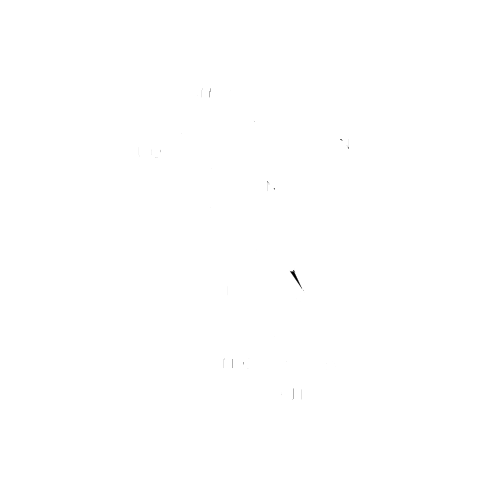 CC1(C)C[C@@H](c2ccn3c(C4(C#N)CC4)c(C(O)O)cc3c2F)CCO1